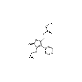 CCOC1=C(c2ccccc2)C(CCC(=O)OC)OC1=O